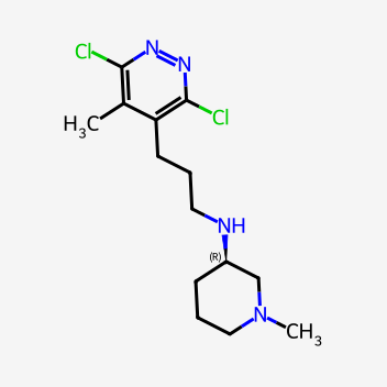 Cc1c(Cl)nnc(Cl)c1CCCN[C@@H]1CCCN(C)C1